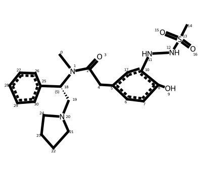 CN(C(=O)Cc1ccc(O)c(NNS(C)(=O)=O)c1)[C@H](CN1CCCC1)c1ccccc1